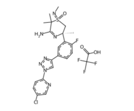 CN=S1(=O)C[C@@](C)(c2cc(-c3cn(-c4ccc(Cl)cn4)nn3)ccc2F)N=C(N)C1(C)C.O=C(O)C(F)(F)F